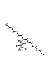 CCCCCCCCCCCCCCCC[S-].CCS(=O)(=O)O.[Na+]